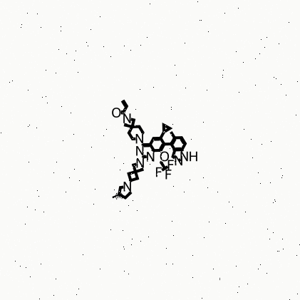 C=CC(=O)N1CC2(CCN(c3nc(N4CC5(CC(N6CC[C@@H](C)C6)C5)C4)nc4c(OCC(F)(F)F)c(-c5c(C)ccc6[nH]ncc56)c(C5CC5)cc34)CC2)C1